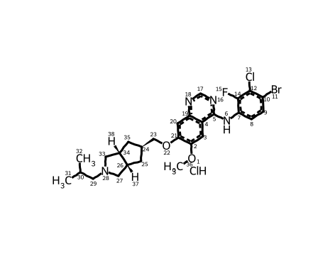 COc1cc2c(Nc3ccc(Br)c(Cl)c3F)ncnc2cc1OC[C@H]1C[C@@H]2CN(CC(C)C)C[C@@H]2C1.Cl